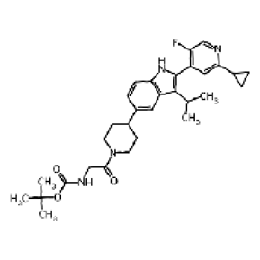 CC(C)c1c(-c2cc(C3CC3)ncc2F)[nH]c2ccc(C3CCN(C(=O)CNC(=O)OC(C)(C)C)CC3)cc12